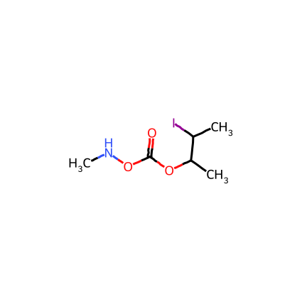 CNOC(=O)OC(C)C(C)I